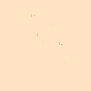 Cc1nn2c(-c3ccccc3)c(C=O)nc2s1